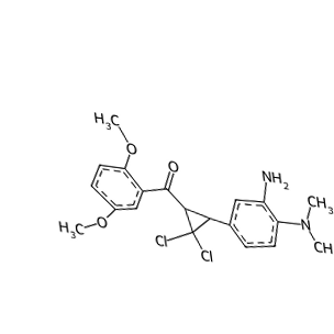 COc1ccc(OC)c(C(=O)C2C(c3ccc(N(C)C)c(N)c3)C2(Cl)Cl)c1